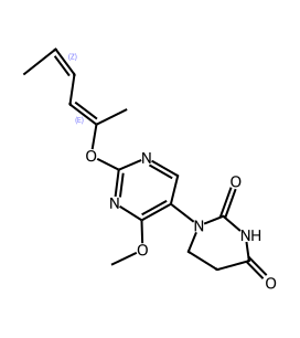 C/C=C\C=C(/C)Oc1ncc(N2CCC(=O)NC2=O)c(OC)n1